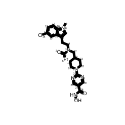 CCC(=O)N(CCc1cn(C)c2ccc(Cl)cc12)CC1CCN(c2ncc(C(=O)NO)cn2)CC1